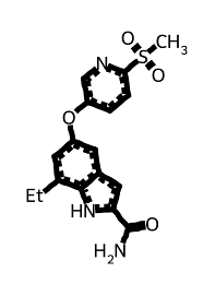 CCc1cc(Oc2ccc(S(C)(=O)=O)nc2)cc2cc(C(N)=O)[nH]c12